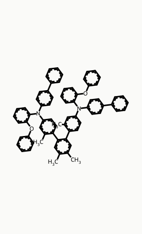 Cc1cc(-c2ccc(N(c3ccc(-c4ccccc4)cc3)c3ccccc3Oc3ccccc3)cc2C)c(-c2ccc(N(c3ccc(-c4ccccc4)cc3)c3ccccc3Oc3ccccc3)cc2C)cc1C